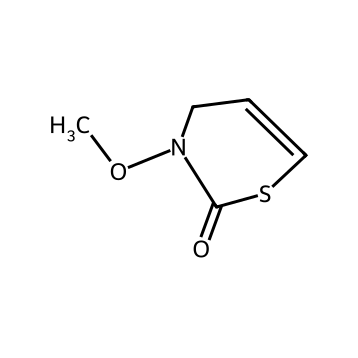 CON1CC=CSC1=O